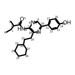 CCC(C)C(=O)Nc1ncc(-c2ccc(O)cc2)nc1CCC1CCCCC1